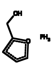 OCc1ccco1.P